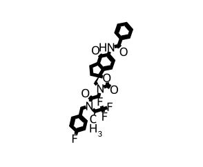 C[C@H](N(Cc1ccc(F)cc1)C(=O)CN1C[C@]2(CCC3C(=O)C(NC(=O)c4ccccc4)=CC=C32)OC1=O)C(F)(F)F